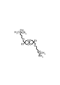 CCC1(COCCCC[SiH](C)C)COC2(OC1)OCC(CC)(COCCC[Si](C)(C)C)CO2